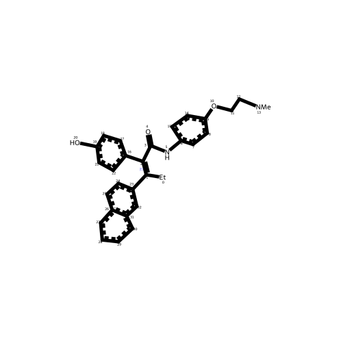 CC/C(=C(\C(=O)Nc1ccc(OCCNC)cc1)c1ccc(O)cc1)c1ccc2ccccc2c1